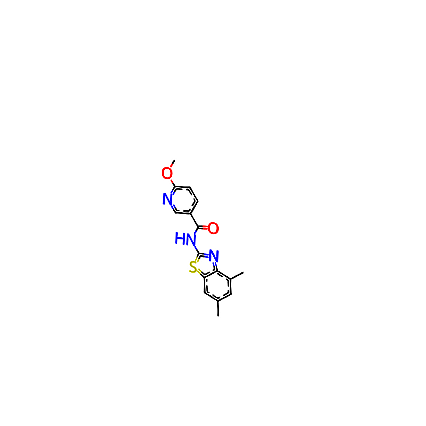 COc1ccc(C(=O)Nc2nc3c(C)cc(C)cc3s2)cn1